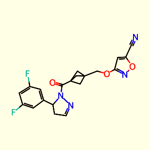 N#Cc1cc(OCC23CC(C(=O)N4N=CCC4c4cc(F)cc(F)c4)(C2)C3)no1